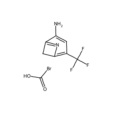 Nc1cc(C(F)(F)F)c2nc1C2.O=C(O)Br